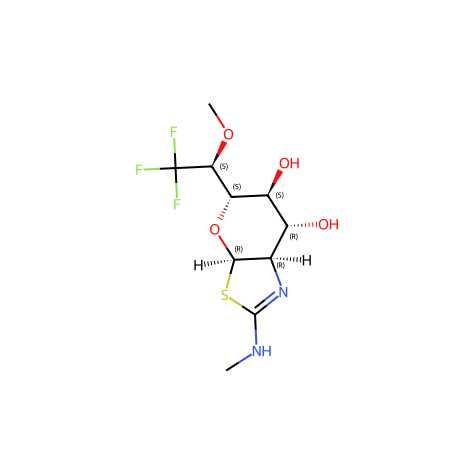 CNC1=N[C@@H]2[C@@H](O)[C@H](O)[C@@H]([C@H](OC)C(F)(F)F)O[C@@H]2S1